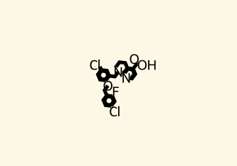 O=C(O)c1ccnc2c1CCCN2Cc1cc(Cl)ccc1OCc1ccc(Cl)cc1F